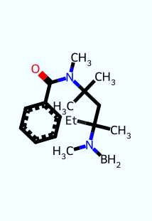 BN(C)C(C)(CC)CC(C)(C)N(C)C(=O)c1ccccc1